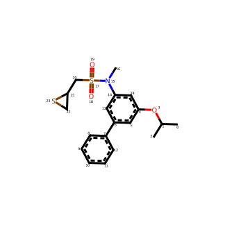 CC(C)Oc1cc(-c2ccccc2)cc(N(C)S(=O)(=O)CC2CS2)c1